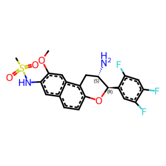 COc1cc2c3c(ccc2cc1NS(C)(=O)=O)O[C@H](c1cc(F)c(F)cc1F)[C@@H](N)C3